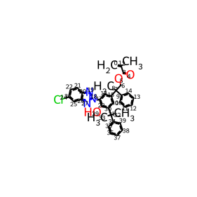 C=C(C)C(=O)OCC(C)(c1ccccc1)c1cc(-n2nc3ccc(Cl)cc3n2)c(O)c(C(C)(C)c2ccccc2)c1